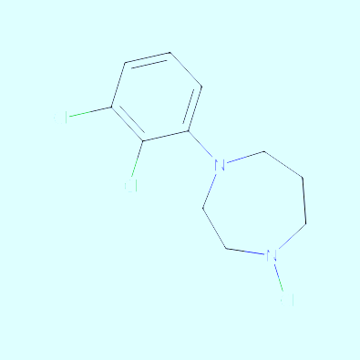 Clc1cccc(N2CCCN(Cl)CC2)c1Cl